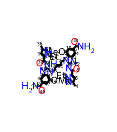 CCn1nc(C)cc1C(=O)/N=c1\n(C)c2cc(C(N)=O)cc(OC)c2n1C/C=C/Cn1c(NC(=O)c2cc(C)nn2CC)nc2cc(C(N)=O)cc(OC)c21